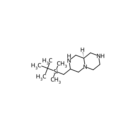 CC(C)(C)[Si](C)(C)CC1CN2CCNC[C@@H]2CN1